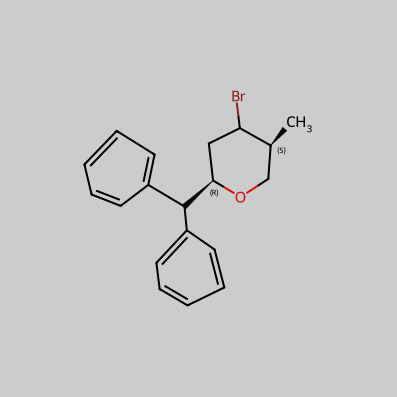 C[C@H]1CO[C@@H](C(c2ccccc2)c2ccccc2)CC1Br